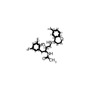 CC(=O)NC(Cc1cc(F)cc(F)c1)[C@H](O)CN[C@H]1CCOc2ccc(I)cc21